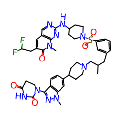 CC(Cc1cccc(S(=O)(=O)N2CCC(Nc3ncc4cc(CC(F)F)c(=O)n(C)c4n3)CC2)c1)CN1CCC(c2ccc3c(N4CCC(=O)NC4=O)nn(C)c3c2)CC1